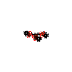 O=S(=O)(OCCCCC(COS(=O)(=O)c1ccccc1)OS(=O)(=O)c1ccccc1)c1ccccc1